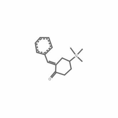 C[Si](C)(C)C1CCC(=O)C(=Cc2ccccc2)C1